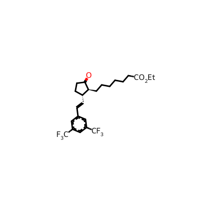 CCOC(=O)CCCCCC[C@@H]1C(=O)CC[C@H]1C=Cc1cc(C(F)(F)F)cc(C(F)(F)F)c1